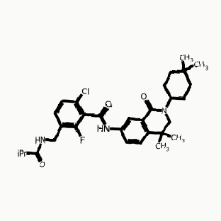 CC(C)C(=O)NCc1ccc(Cl)c(C(=O)Nc2ccc3c(c2)C(=O)N(C2CCC(C)(C)CC2)CC3(C)C)c1F